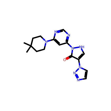 CC1(C)CCN(c2cc(-n3[nH]cc(-n4ccnn4)c3=O)ncn2)CC1